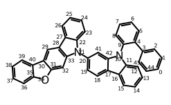 c1ccc(-c2ccccc2-n2c3ccccc3c3ccc(-n4c5ccccc5c5cc6c(cc54)oc4ccccc46)cc32)cc1